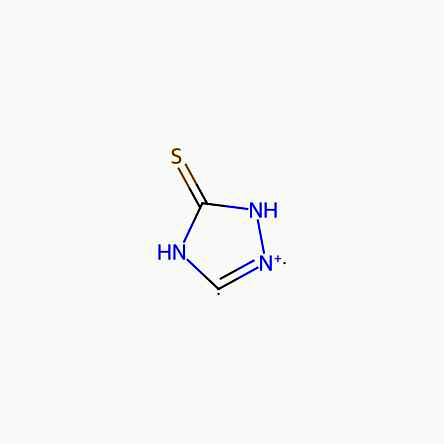 S=C1N[C]=[N+]N1